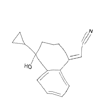 N#CC=C1CCC(O)(C2CC2)c2ccccc21